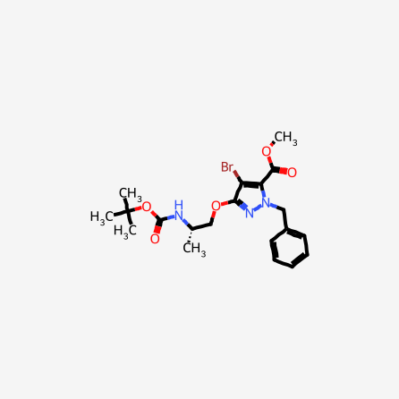 COC(=O)c1c(Br)c(OC[C@H](C)NC(=O)OC(C)(C)C)nn1Cc1ccccc1